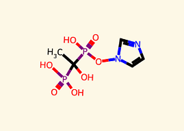 CC(O)(P(=O)(O)O)P(=O)(O)On1ccnc1